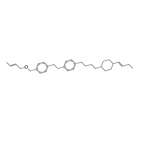 CC=CCOCc1ccc(CCc2ccc(CCCCC3CCC(/C=C/CC)CC3)cc2)cc1